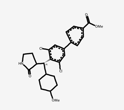 COC(=O)c1ccc(-c2cc(Cl)c([C@H](C3CCC(OC)CC3)C3CCNC3=O)c(Cl)c2)cc1